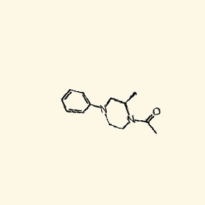 CC(=O)N1CCN(c2ccccc2)C[C@H]1C